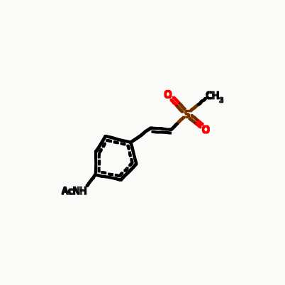 CC(=O)Nc1ccc(/C=C/S(C)(=O)=O)cc1